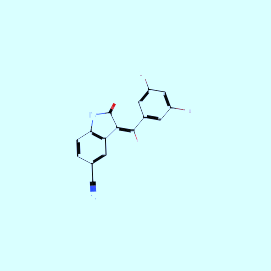 N#Cc1ccc2c(c1)C(=C(O)c1cc(Br)cc(Br)c1)C(=O)N2